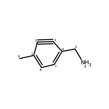 Cc1c#cc(CN)cc1